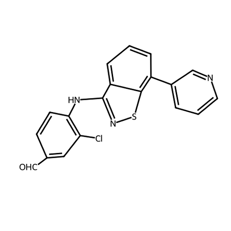 O=Cc1ccc(Nc2nsc3c(-c4cccnc4)cccc23)c(Cl)c1